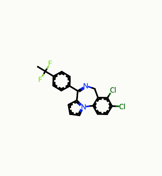 CC(F)(F)c1ccc(C2=NCc3c(ccc(Cl)c3Cl)-n3cccc32)cc1